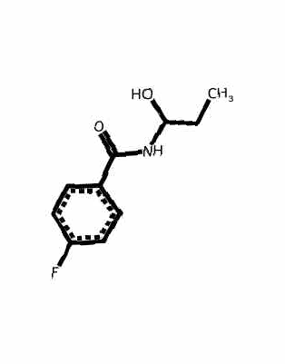 CCC(O)NC(=O)c1ccc(F)cc1